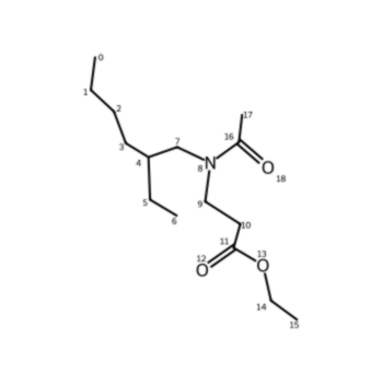 CCCCC(CC)CN(CCC(=O)OCC)C(C)=O